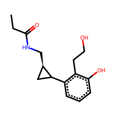 CCC(=O)NC[C@@H]1CC1c1cccc(O)c1CCO